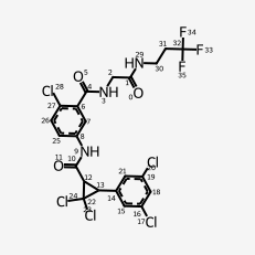 O=C(CNC(=O)c1cc(NC(=O)C2C(c3cc(Cl)cc(Cl)c3)C2(Cl)Cl)ccc1Cl)NCCC(F)(F)F